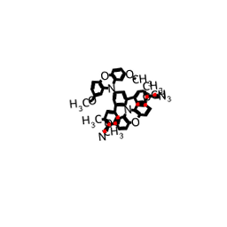 COc1ccc2c(c1)N(c1cc(-c3ccc(C#N)c(C)c3)c(N3c4cc(OC)ccc4Oc4ccc(OC)cc43)c(-c3ccc(C#N)c(C)c3)c1)c1cc(OC)ccc1O2